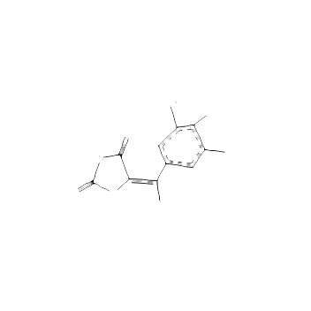 C/C(=C1\SC(=O)NC1=O)c1cc(C(C)(C)C)c(O)c(C(C)(C)C)c1